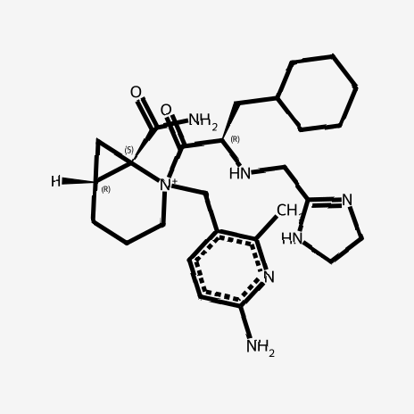 Cc1nc(N)ccc1C[N+]1(C(=O)[C@@H](CC2CCCCC2)NCC2=NCCN2)CCC[C@@H]2C[C@@]21C(N)=O